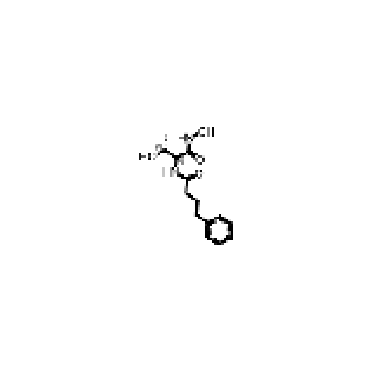 C[C@@H](O)[C@H](NC(=O)CCCc1ccccc1)C(=O)NO